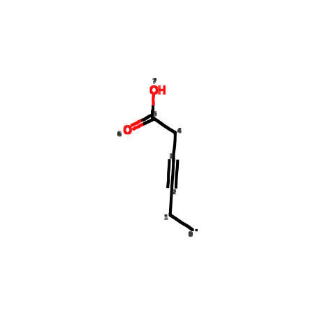 [CH2]CC#CCC(=O)O